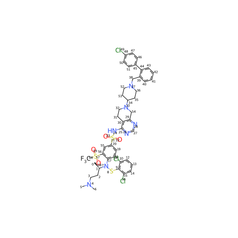 C[C@H](CCN(C)C)N(Sc1c(Cl)cccc1Cl)c1ccc(S(=O)(=O)Nc2ncnc3c2CCN(C2CCN(Cc4ccccc4-c4ccc(Cl)cc4)CC2)C3)cc1S(=O)(=O)C(F)(F)F